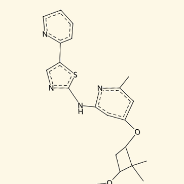 COC1CC(Oc2cc(C)nc(Nc3ncc(-c4ccccn4)s3)c2)C1(C)C